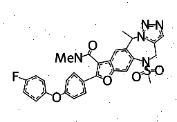 CNC(=O)c1c(-c2ccc(Oc3ccc(F)cc3)cc2)oc2cc3c(cc12)C(C)n1nncc1CN3S(C)(=O)=O